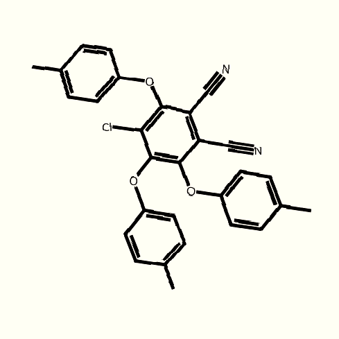 Cc1ccc(Oc2c(Cl)c(Oc3ccc(C)cc3)c(Oc3ccc(C)cc3)c(C#N)c2C#N)cc1